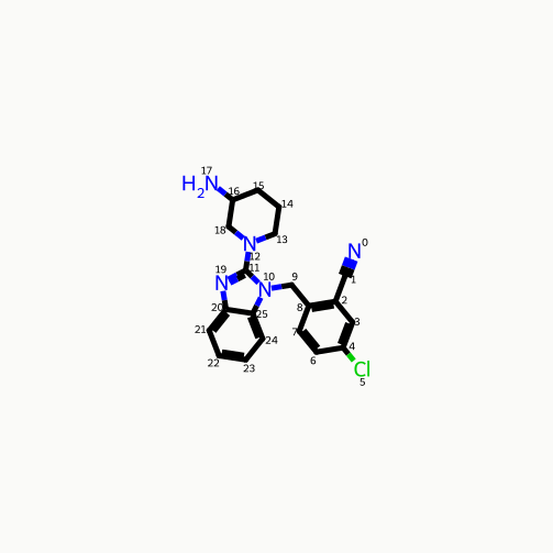 N#Cc1cc(Cl)ccc1Cn1c(N2CCCC(N)C2)nc2ccccc21